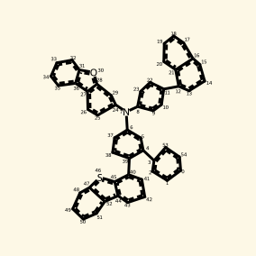 c1ccc(-c2cc(N(c3ccc(-c4cccc5ccccc45)cc3)c3ccc4c(c3)oc3ccccc34)ccc2-c2cccc3c2sc2ccccc23)cc1